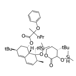 CCCC(C)(Oc1ccccc1)C(=O)O[C@H]1C[C@H](C(C)(C)C)C=C2C=C[C@H](C)[C@](CC[C@@H]3C[C@H](C(C)(C)C)C(O[SiH](C)C)C(=O)O3)(O[SiH](C)C)[C@H]21